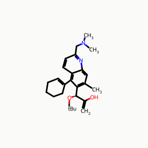 C=C(O)[C@@H](OC(C)(C)C)c1c(C)cc2nc(CN(C)C)ccc2c1C1=CCCCC1